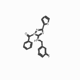 O=C(c1ccccc1)n1nc(-c2cccs2)nc1NCc1cccc(F)c1